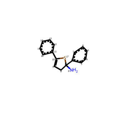 NC1(c2ccccc2)CC=C(c2ccccc2)S1